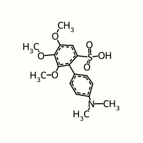 COc1cc(S(=O)(=O)O)c(-c2ccc(N(C)C)cc2)c(OC)c1OC